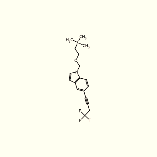 C[Si](C)(C)CCOCn1ccc2cc(C#CCC(F)(F)F)ccc21